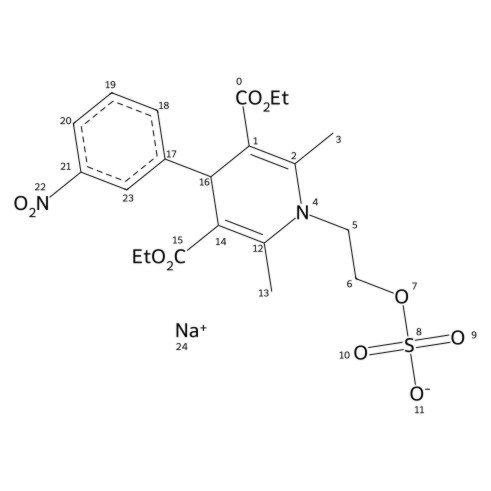 CCOC(=O)C1=C(C)N(CCOS(=O)(=O)[O-])C(C)=C(C(=O)OCC)C1c1cccc([N+](=O)[O-])c1.[Na+]